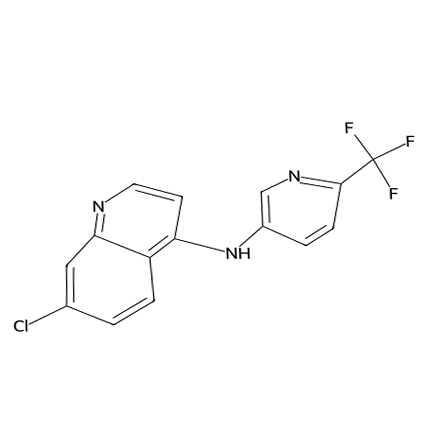 FC(F)(F)c1ccc(Nc2ccnc3cc(Cl)ccc23)cn1